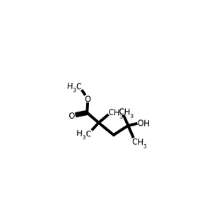 COC(=O)C(C)(C)CC(C)(C)O